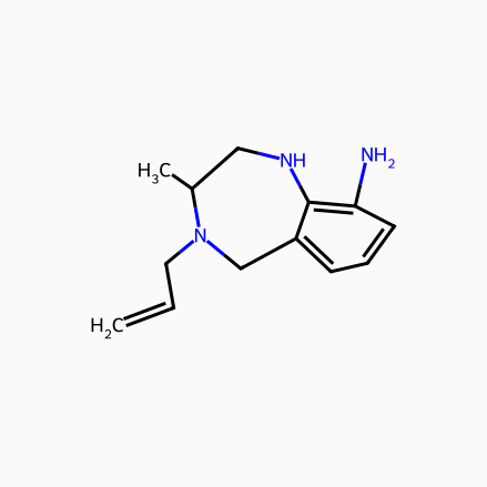 C=CCN1Cc2cccc(N)c2NCC1C